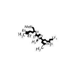 CC/C(=C/C=C(\C=C(C)C)C1OC=C(C(=O)N/C(=C/NC)CCC(C)(CC)CC)N1C)CCC(F)(F)F